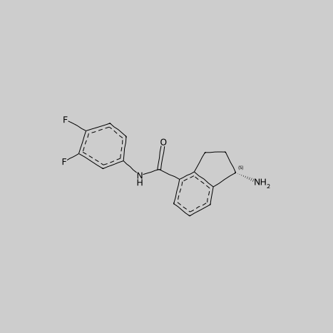 N[C@H]1CCc2c(C(=O)Nc3ccc(F)c(F)c3)cccc21